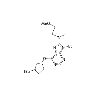 CCn1c(N(C)CCOC)nc2c(OC3CCN(C(C)(C)C)C3)ncnc21